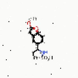 CCCOc1cc2cc(C(CC(C)C)NS(=O)(=O)O)ccc2o1